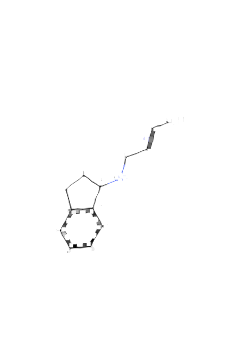 C/C=C/CNC1CCc2ccccc21